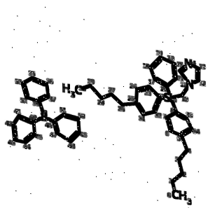 CCCCCc1ccc([Si](Cn2ccnc2)(c2ccccc2)c2ccc(CCCCC)cc2)cc1.c1ccc(B(c2ccccc2)c2ccccc2)cc1